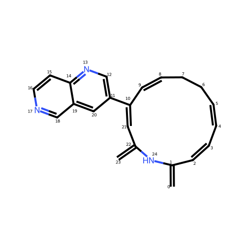 C=C1/C=C\C=C/CC/C=C\C(c2cnc3ccncc3c2)=C/C(=C)N1